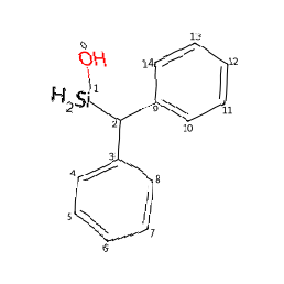 O[SiH2]C(c1ccccc1)c1ccccc1